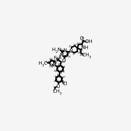 CCOc1ccc(-c2ccc([C@@H](Oc3cc(N4CCC5(CC4)CC(C(=O)O)NC5CC)nc(N)n3)C(F)(F)F)c(-n3ccc(C)n3)c2)cc1Cl